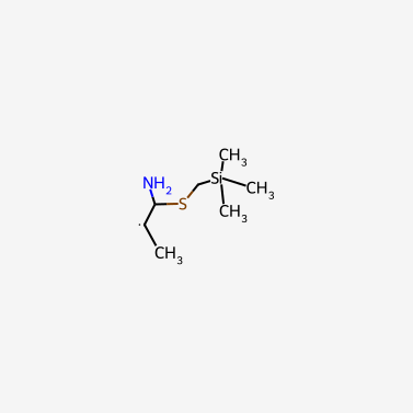 C[CH]C(N)SC[Si](C)(C)C